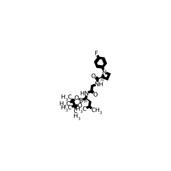 CC(C)C[C@H](NC(=O)CNC(=O)[C@@H]1CCN1c1ccc(F)cc1)B1OC(C)(C)C(C)(C)O1